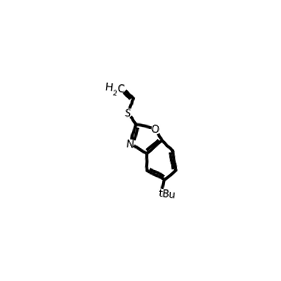 C=CSc1nc2cc(C(C)(C)C)ccc2o1